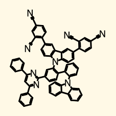 N#Cc1ccc(-c2ccc3c(c2)c2cc(-c4ccc(C#N)cc4C#N)ccc2n3-c2cc(-c3nc(-c4ccccc4)cc(-c4ccccc4)n3)ccc2-c2ccccc2-n2c3ccccc3c3ccccc32)c(C#N)c1